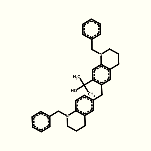 CC(C)(O)c1cc2c(cc1Cc1ccc3c(c1)CCCN3Cc1ccccc1)CCCN2Cc1ccccc1